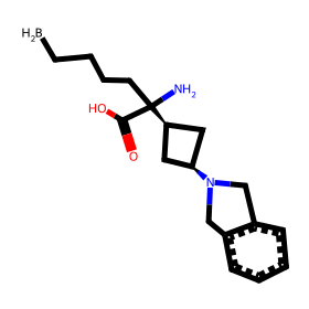 BCCCCC(N)(C(=O)O)[C@H]1C[C@@H](N2Cc3ccccc3C2)C1